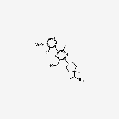 COc1cncc(-c2nc(CO)c(N3CCC(C)(C(C)N)CC3)nc2C)c1Cl